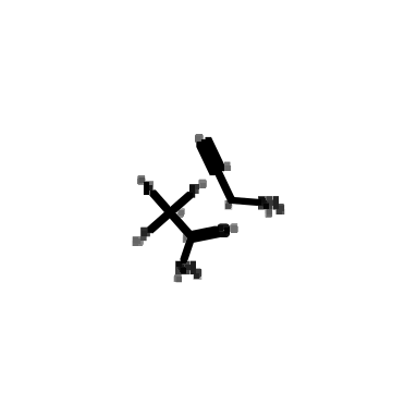 C#CCN.NC(=O)C(F)(F)F